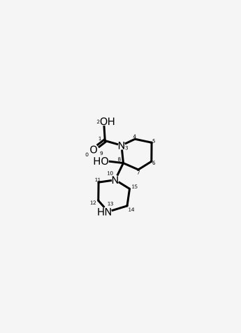 O=C(O)N1CCCCC1(O)N1CCNCC1